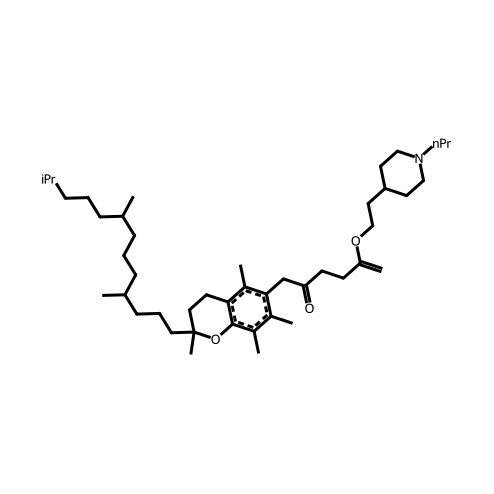 C=C(CCC(=O)Cc1c(C)c(C)c2c(c1C)CCC(C)(CCCC(C)CCCC(C)CCCC(C)C)O2)OCCC1CCN(CCC)CC1